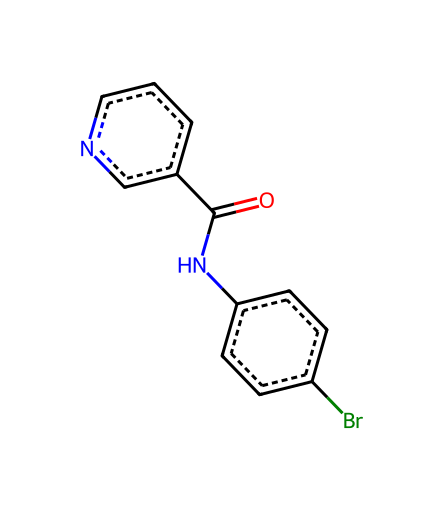 O=C(Nc1ccc(Br)cc1)c1cccnc1